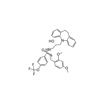 COc1ccc(CN=S(=O)(NC[C@H](O)CN2c3ccccc3CCc3ccccc32)c2ccc(OC(F)(F)F)cc2)c(OC)c1